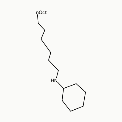 CCCCCCCCCCCCCCNC1CCCCC1